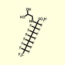 O=S(=O)(O)C(F)(NCC(O)O)C(F)(F)C(F)(F)C(F)(F)C(F)(F)C(F)(F)C(F)(F)C(F)(F)F